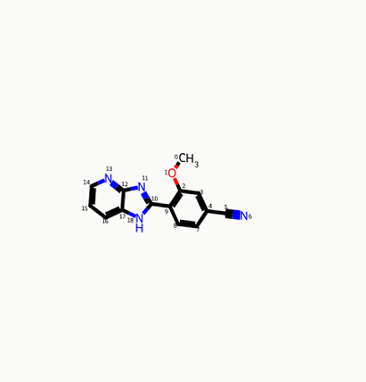 COc1cc(C#N)ccc1-c1nc2ncccc2[nH]1